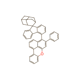 c1ccc(-c2cc3c4c(cccc4c2-c2cccc4c2-c2ccccc2C42C4CC5CC(C4)CC2C5)-c2ccccc2O3)cc1